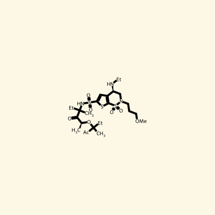 CCN[C@H]1CN(CCCOC)S(=O)(=O)c2sc(S(=O)(=O)NC(C)(CC)C(=O)[C@H](C)OC(C)(CC)C(C)=O)cc21